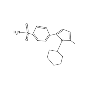 Cc1ccc(-c2ccc(S(N)(=O)=O)cc2)n1C1CCCCC1